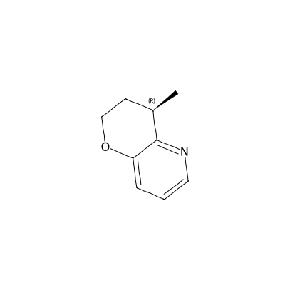 C[C@@H]1CCOc2cccnc21